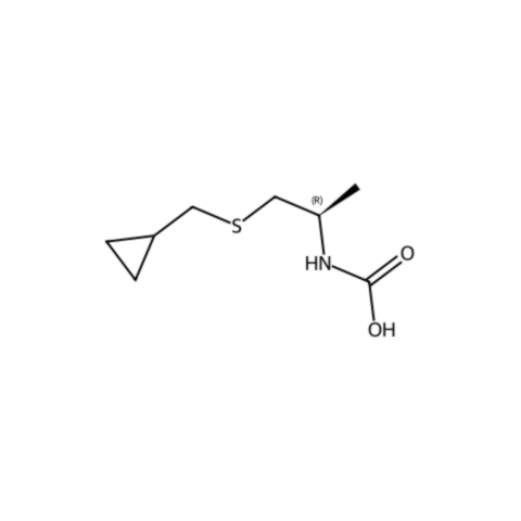 C[C@H](CSCC1CC1)NC(=O)O